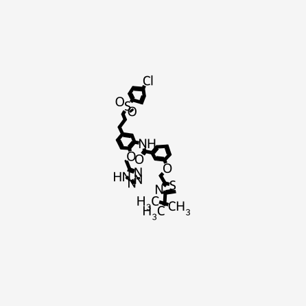 CC(C)(C)c1csc(COc2cccc(C(=O)Nc3cc(CCCS(=O)(=O)c4ccc(Cl)cc4)ccc3OCc3nnn[nH]3)c2)n1